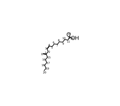 C=C(C/C=C\CCCCCCCC(=O)O)CCCCCC